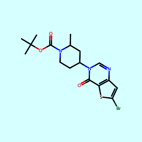 CC1CC(n2cnc3cc(Br)sc3c2=O)CCN1C(=O)OC(C)(C)C